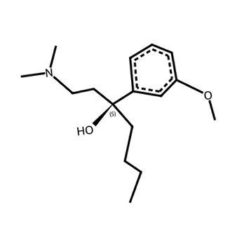 CCCC[C@](O)(CCN(C)C)c1cccc(OC)c1